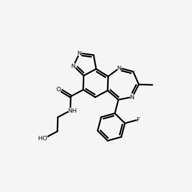 Cc1cnc2c(cc(C(=O)NCCO)c3nncc32)c(-c2ccccc2F)n1